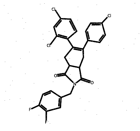 O=C1C2CC(c3ccc(Cl)cc3)=C(c3ccc(Cl)cc3Cl)CC2C(=O)N1Cc1ccc(F)c(F)c1